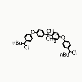 CCCCC(Cl)c1ccc(Oc2ccc(C(C)(C)c3ccc(Oc4ccc(C(Cl)CCCC)cc4)cc3)cc2)cc1